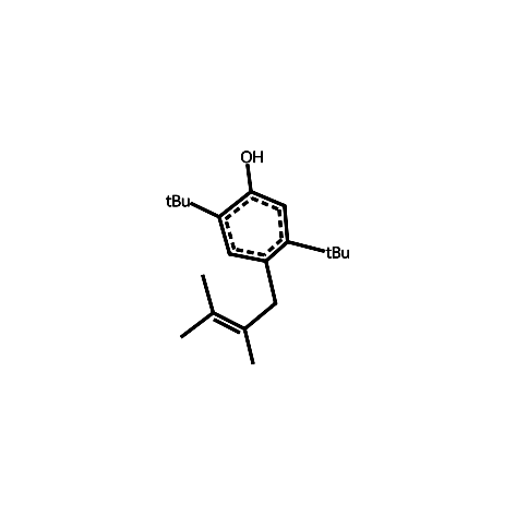 CC(C)=C(C)Cc1cc(C(C)(C)C)c(O)cc1C(C)(C)C